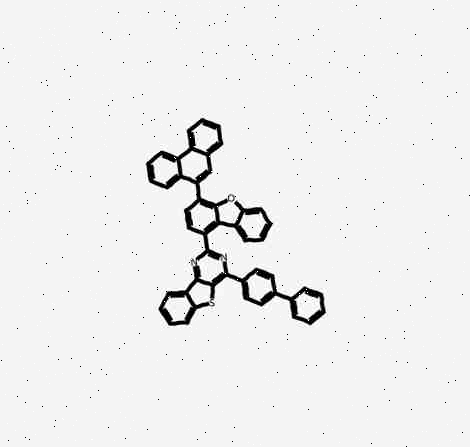 c1ccc(-c2ccc(-c3nc(-c4ccc(-c5cc6ccccc6c6ccccc56)c5oc6ccccc6c45)nc4c3sc3ccccc34)cc2)cc1